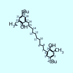 Cc1cc(C(C)(C)C)cc(CCCCCCCCCCc2cc(C(C)(C)C)cc(C)c2O)c1O